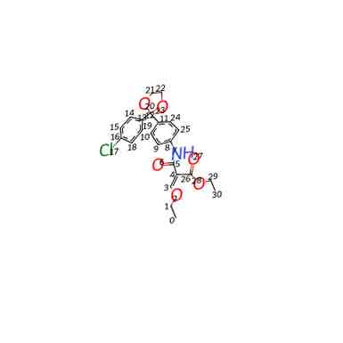 CCOC=C(C(=O)Nc1ccc(C2(c3ccc(Cl)cc3)OCCO2)cc1)C(=O)OCC